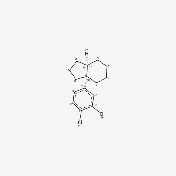 Clc1ccc([C@@]23CCCC[C@@H]2CCC3)cc1Cl